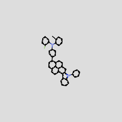 Cc1ccccc1N(c1ccc(-c2ccc3ccc4c5c(ccc2c35)cc2c4c3ccccc3n2-c2ccccc2)cc1)c1ccccc1F